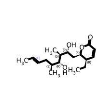 C/C=C/C[C@H](C)[C@@H](O)[C@@H](C)[C@H](O)C[C@H]1OC(=O)C=C[C@H]1CC